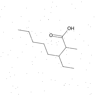 CCCCCC(CC)C(C)C(=O)O